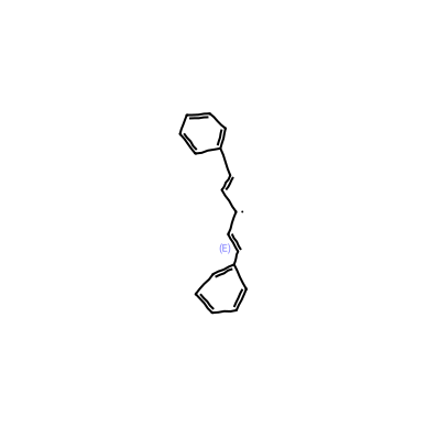 [CH](C=Cc1ccccc1)/C=C/c1ccccc1